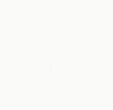 NC(=O)[C@@H]1CN(CCC2COc3ccccc3O2)CC[C@H]1N